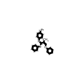 CC(=COc1ccccc1)C(=Nc1ccc(C(C)C)cc1)Sc1ccccc1